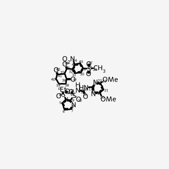 CCS(=O)(=O)c1cccnc1S(=O)(=O)NC(=O)Nc1nc(OC)cc(OC)n1.CS(=O)(=O)c1ccc(C(=O)C2C(=O)CCCC2=O)c([N+](=O)[O-])c1